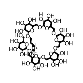 [N-]=[N+]=NCCO[C@@H]1OC(CO[C@@H]2OC(CO[C@@H]3OC(CO[C@@H]4OC(CO[C@@H]5OC(CO[C@@H]6O[C@H](CO)[C@@H](O)[C@H](O)[C@H]6O)[C@@H](O)[C@H](O)[C@H]5O)[C@@H](O)[C@H](O)[C@H]4O)[C@@H](O)[C@H](O)[C@H]3O)[C@@H](O)[C@H](O)[C@H]2O)[C@@H](O)[C@H](O)[C@H]1O